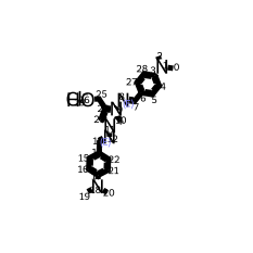 CN(C)c1ccc(/C=N/n2c[n+](/N=C/c3ccc(N(C)C)cc3)cc2CO)cc1.[Cl-]